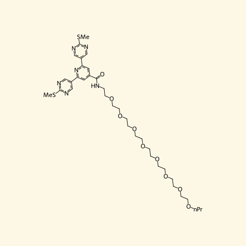 CCCOCCOCCOCCOCCOCCOCCOCCOCCNC(=O)c1cc(-c2cnc(SC)nc2)nc(-c2cnc(SC)nc2)c1